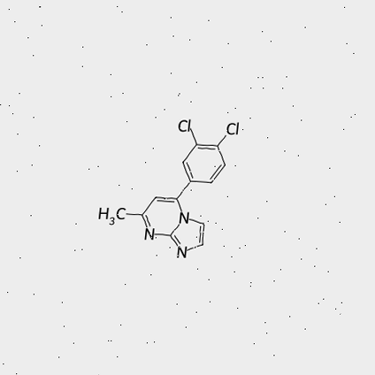 Cc1cc(-c2ccc(Cl)c(Cl)c2)n2ccnc2n1